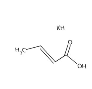 C/C=C/C(=O)O.[KH]